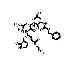 CCOC(=O)/C=C/[C@H](CC1CCNC1=O)NC(=O)[C@H](CC(C)C)NC(=O)[C@H](CC(=O)O)NC(=O)OCc1ccccc1